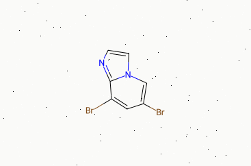 Brc1cc(Br)c2nccn2c1